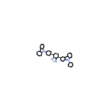 c1ccc(-n2c3ccccc3c3cc(-c4ccc(-c5ccc(-n6c7ccccc7c7ccccc76)cc5)c5nsnc45)ccc32)cc1